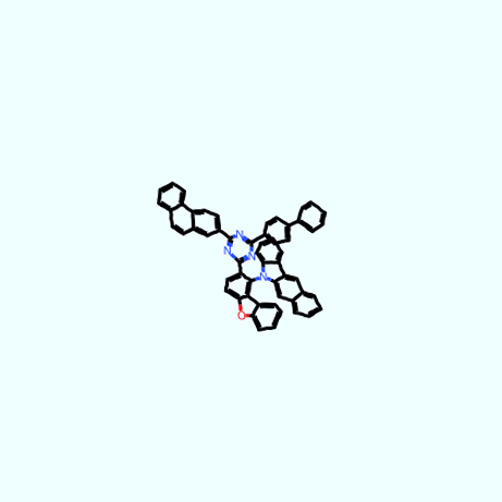 c1ccc(-c2ccc(-c3nc(-c4ccc5c(ccc6ccccc65)c4)nc(-c4ccc5oc6ccccc6c5c4-n4c5ccccc5c5cc6ccccc6cc54)n3)cc2)cc1